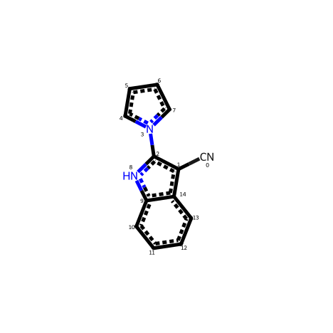 N#Cc1c(-n2cccc2)[nH]c2ccccc12